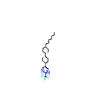 CCCCCCC[C@H]1CC[C@H]([C@H]2CC[C@H](c3cnc(C(F)(F)F)nc3)CC2)CC1